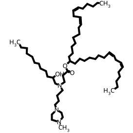 CCCCC/C=C\C/C=C\CCCCCCCC(CCCCCCC/C=C\C/C=C\CCCCC)OC(=O)CCN(CCCCN1CCN(C)CC1)CC(O)CCCCCCCCCC